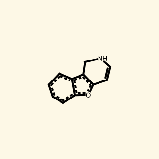 [CH]1NC=Cc2oc3ccccc3c21